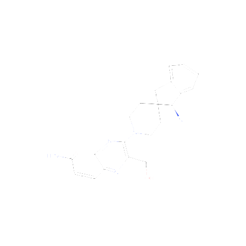 NC(=O)/C=C\c1cnc(N2CCC3(CC2)Cc2ccccc2[C@H]3N)c(CO)n1